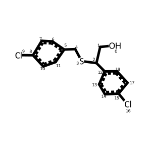 OCC(SCc1ccc(Cl)cc1)c1ccc(Cl)cc1